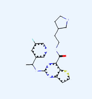 CC(Nc1nc(C(=O)NCCC2CCNC2)c2sccc2n1)c1cncc(F)c1